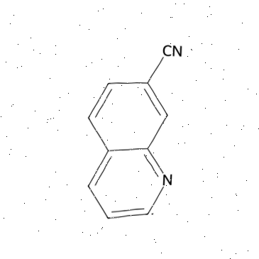 N#Cc1ccc2cc[c]nc2c1